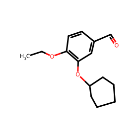 CCOc1ccc(C=O)cc1OC1CCCCC1